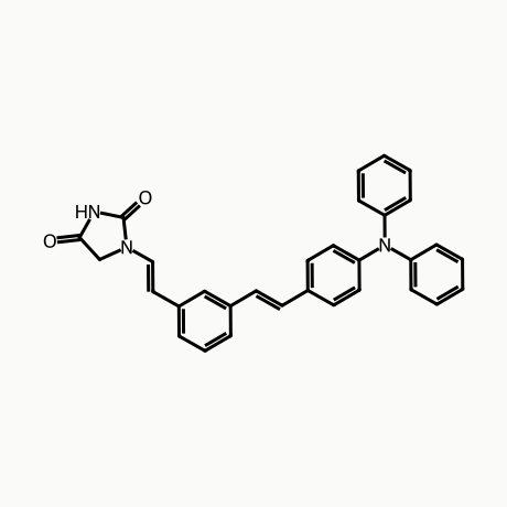 O=C1CN(C=Cc2cccc(C=Cc3ccc(N(c4ccccc4)c4ccccc4)cc3)c2)C(=O)N1